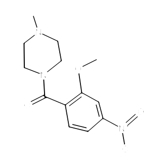 COc1cc([N+](=O)[O-])ccc1C(=O)N1CCN(C)CC1